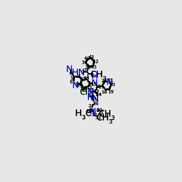 CCC(Nc1c(C#N)cnc2c(Cl)cc(NC(c3cccnc3)c3cn(CC[N+](C)(CC)CC)nn3)cc12)c1ccccc1